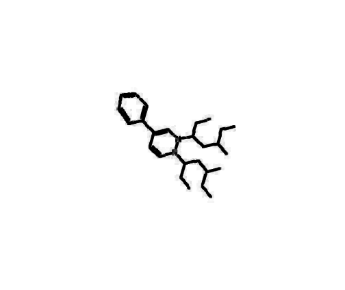 CCC(C)CC(CC)N1C=CC(c2ccccc2)=CN1C(CC)CC(C)CC